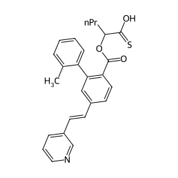 CCCC(OC(=O)c1ccc(C=Cc2cccnc2)cc1-c1ccccc1C)C(O)=S